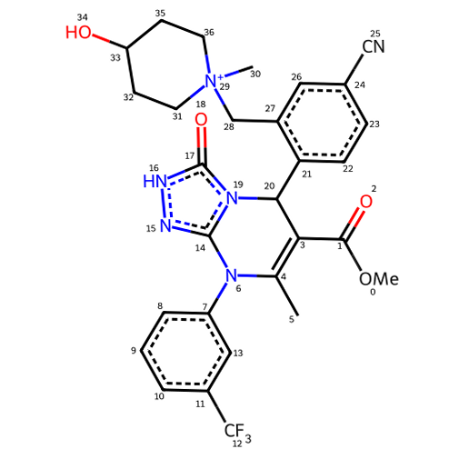 COC(=O)C1=C(C)N(c2cccc(C(F)(F)F)c2)c2n[nH]c(=O)n2C1c1ccc(C#N)cc1C[N+]1(C)CCC(O)CC1